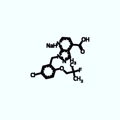 CC(C)(F)COc1ccc(Cl)cc1Cn1ncc2c(C(=O)O)ccnc21.[NaH]